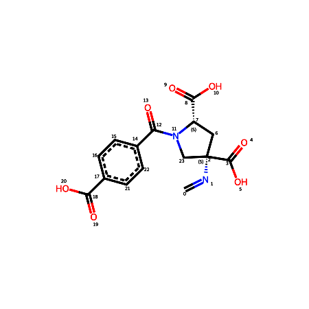 C=N[C@@]1(C(=O)O)C[C@@H](C(=O)O)N(C(=O)c2ccc(C(=O)O)cc2)C1